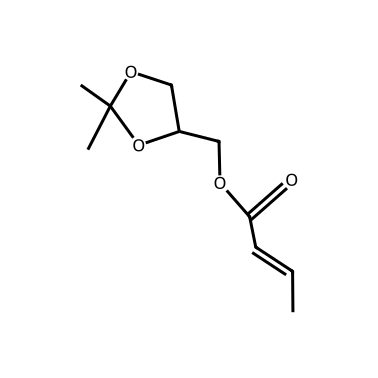 CC=CC(=O)OCC1COC(C)(C)O1